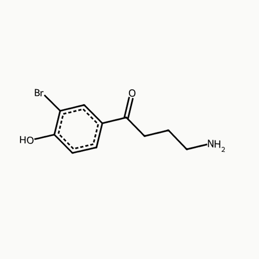 NCCCC(=O)c1ccc(O)c(Br)c1